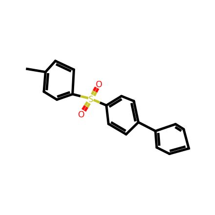 Cc1ccc(S(=O)(=O)c2ccc(-c3ccccc3)cc2)cc1